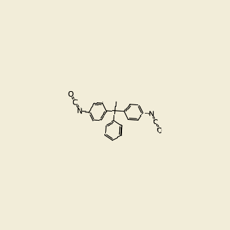 CC(c1ccccc1)(c1ccc(N=C=O)cc1)c1ccc(N=C=O)cc1